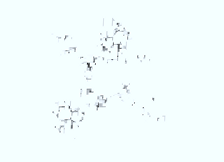 CO[C@@H]1COP(=O)(OCOC(=O)OC(C)C)CO[C@H]2[C@@H](F)[C@H](n3cnc4c(N)ncnc43)O[C@@H]2COP(=O)(OCOC(=O)OC(C)C)O[C@@H](n2cnc3c(N)ncnc32)[C@@H]1F